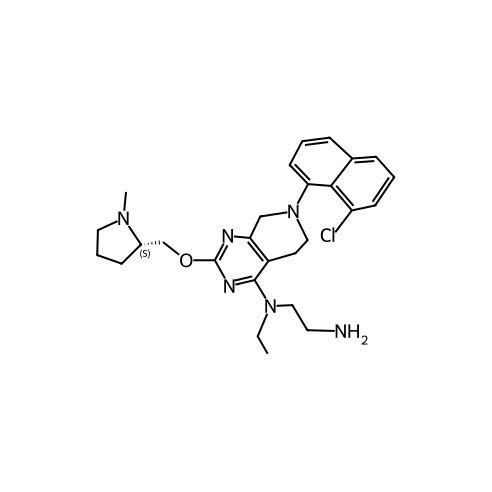 CCN(CCN)c1nc(OC[C@@H]2CCCN2C)nc2c1CCN(c1cccc3cccc(Cl)c13)C2